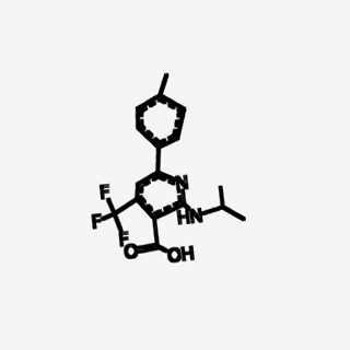 Cc1ccc(-c2cc(C(F)(F)F)c(C(=O)O)c(NC(C)C)n2)cc1